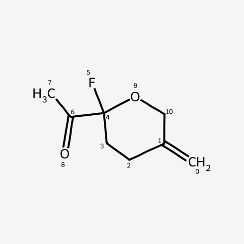 C=C1CCC(F)(C(C)=O)OC1